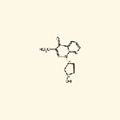 O=C(O)c1cn([C@@H]2CC[C@@H](O)C2)c2ncccc2c1=O